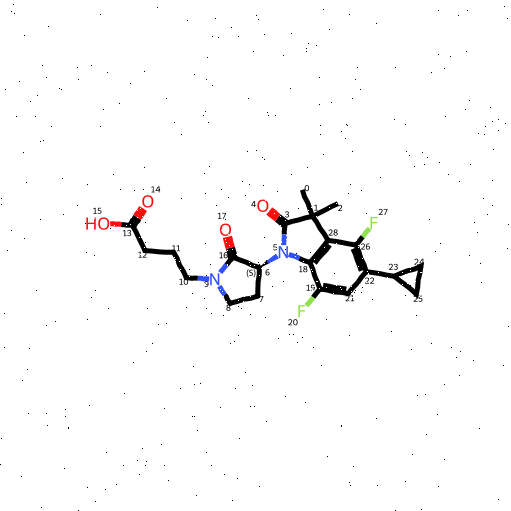 CC1(C)C(=O)N([C@H]2CCN(CCCC(=O)O)C2=O)c2c(F)cc(C3CC3)c(F)c21